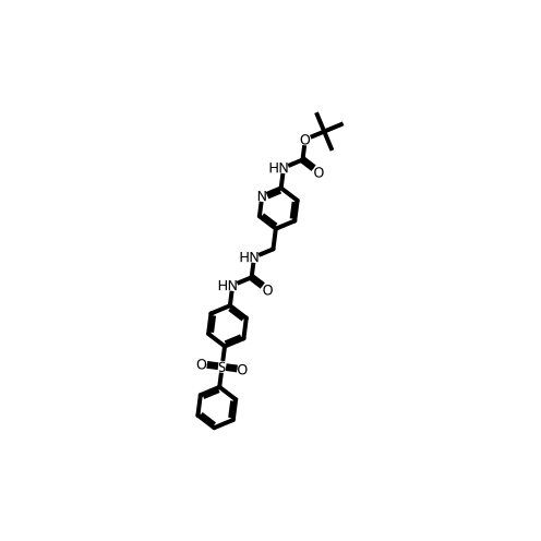 CC(C)(C)OC(=O)Nc1ccc(CNC(=O)Nc2ccc(S(=O)(=O)c3ccccc3)cc2)cn1